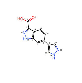 O=C(O)c1n[nH]c2cc(-c3cn[nH]c3)ccc12